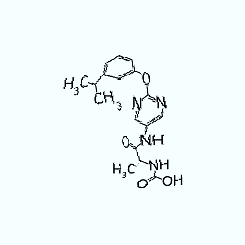 CC(C)c1cccc(Oc2ncc(NC(=O)[C@@H](C)NC(=O)O)cn2)c1